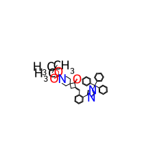 CC(C)(C)OC(=O)N1CCC2(CC1)C/C(=C\c1ccccc1-c1cn(C(c3ccccc3)(c3ccccc3)c3ccccc3)cn1)C2=O